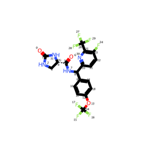 O=C1NC[C@@H](C(=O)NC(c2ccc(OC(F)(F)F)cc2)c2ccc(F)c(C(F)(F)F)n2)N1